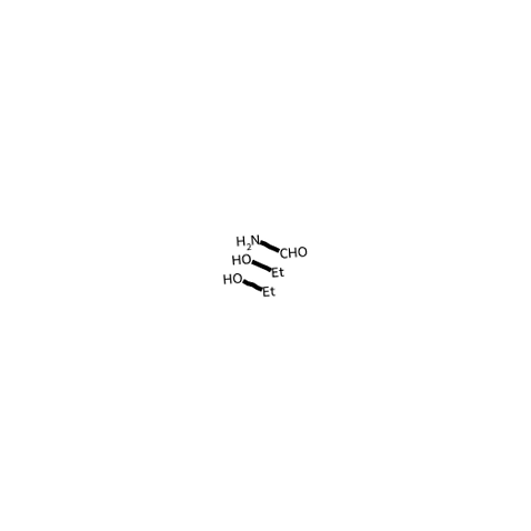 CCO.CCO.NC=O